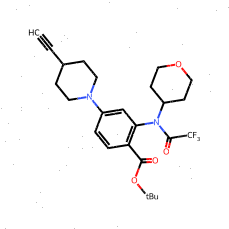 C#CC1CCN(c2ccc(C(=O)OC(C)(C)C)c(N(C(=O)C(F)(F)F)C3CCOCC3)c2)CC1